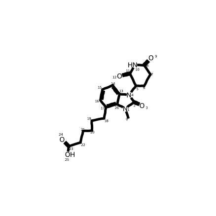 Cn1c(=O)n(C2CCC(=O)NC2=O)c2cccc(CCCCCC(=O)O)c21